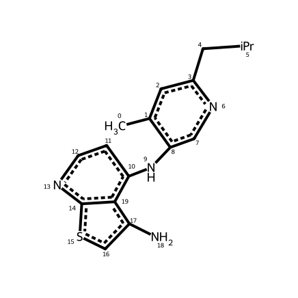 Cc1cc(CC(C)C)ncc1Nc1ccnc2scc(N)c12